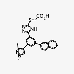 Cc1nn(C)cc1-c1cc(-c2ccc3ccccc3c2)cc(-c2nnc(SCC(=O)O)[nH]2)c1